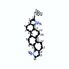 CCCCc1cc2ccc3c4ccc5c(ccc6ccn(C)c65)c4ccc3c2n1C